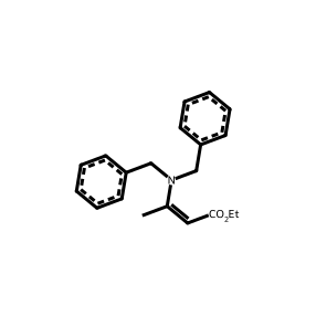 CCOC(=O)/C=C(/C)N(Cc1ccccc1)Cc1ccccc1